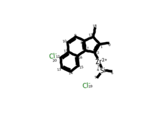 CC1=[C]([Zr+2][Si](C)C)c2c(ccc3ccccc23)C1C.[Cl-].[Cl-]